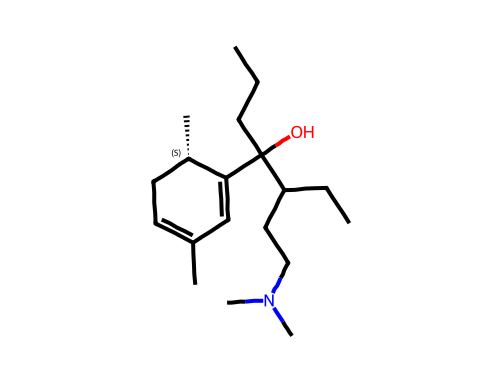 CCCC(O)(C1=CC(C)=CC[C@@H]1C)C(CC)CCN(C)C